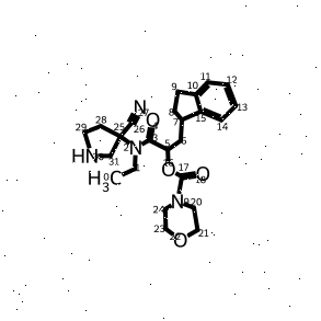 CCN(C(=O)C(CC1CCc2ccccc21)OC(=O)N1CCOCC1)C1(C#N)CCNC1